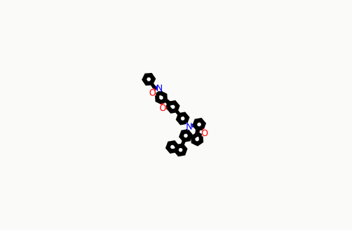 c1ccc(-c2nc3cc4c(cc3o2)oc2cc(-c3ccc(N(c5ccc(-c6cccc7ccccc67)cc5)c5cccc6oc7ccccc7c56)cc3)ccc24)cc1